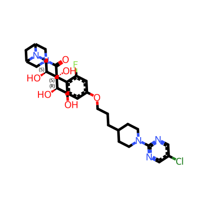 O=C(Cc1ccc(OCCCC2CCN(c3ncc(Cl)cn3)CC2)cc1F)N1CC2CC(C1)N2C[C@H](O)[C@H](O)[C@H](O)CO